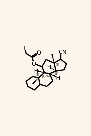 C[C@]12CCCCC1CC[C@@H]1[C@H]2C(OC(=O)CI)C[C@]2(C)C(C#N)CC[C@@H]12